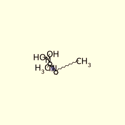 CCCCCCCCCCCCc1ccccc1/N=N/c1ccc(N(CCO)CCO)cc1C